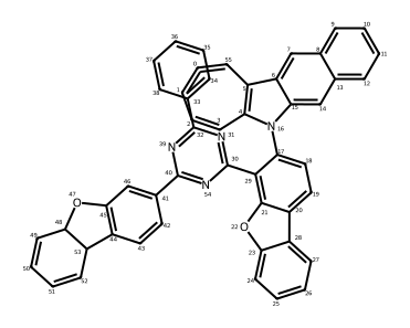 C1=CC=Cc2c(c3cc4ccccc4cc3n2-c2ccc3c(oc4ccccc43)c2-c2nc(-c3ccccc3)nc(-c3ccc4c(c3)OC3C=CC=CC43)n2)C=1